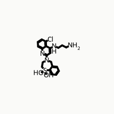 NCCCNc1cc(N2CCS(O)(O)c3ccccc3C2)nc2cccc(Cl)c12